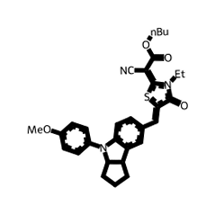 CCCCOC(=O)/C(C#N)=c1/s/c(=C\c2ccc3c(c2)C2CCCC2N3c2ccc(OC)cc2)c(=O)n1CC